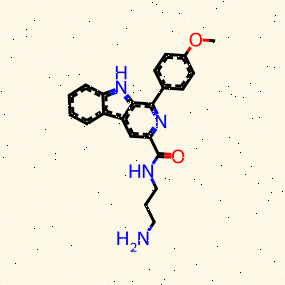 COc1ccc(-c2nc(C(=O)NCCCN)cc3c2[nH]c2ccccc23)cc1